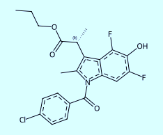 CCCOC(=O)[C@H](C)c1c(C)n(C(=O)c2ccc(Cl)cc2)c2cc(F)c(O)c(F)c12